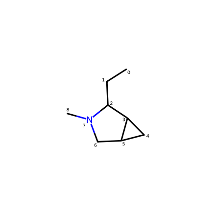 CCC1C2CC2CN1C